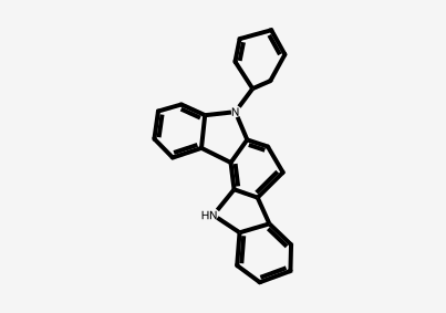 C1=CCC(n2c3ccccc3c3c4[nH]c5ccccc5c4ccc32)C=C1